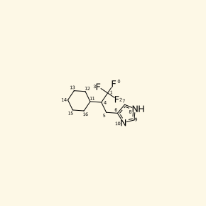 FC(F)(F)C(Cc1c[nH]cn1)C1CCCCC1